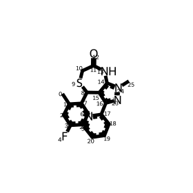 Cc1cc(F)ccc1C1SCC(=O)Nc2c1c(-c1ccccn1)nn2C